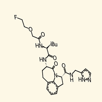 CC[C@H](C)[C@H](NC(=O)COCCF)C(=O)N[C@H]1CCc2cccc3c2N(C1=O)[C@H](C(=O)NCc1ccn[nH]1)C3